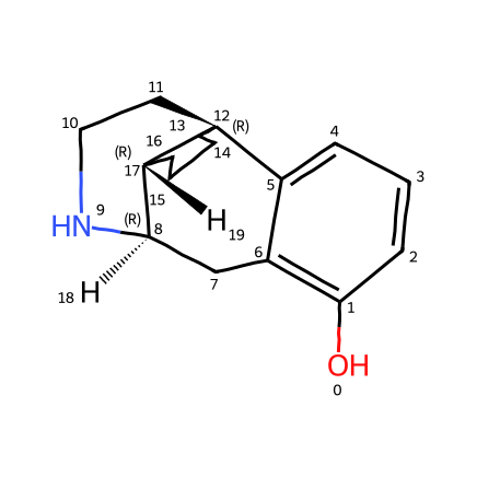 Oc1cccc2c1C[C@H]1NCC[C@@]23CCCC[C@@H]13